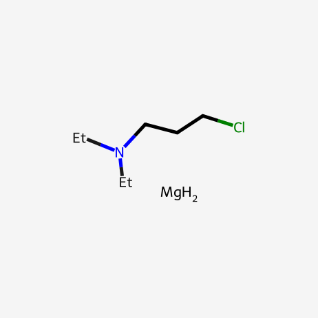 CCN(CC)CCCCl.[MgH2]